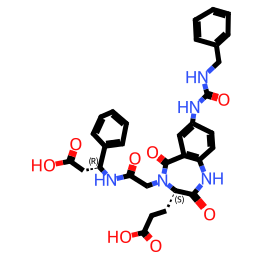 O=C(O)CC[C@H]1C(=O)Nc2ccc(NC(=O)NCc3ccccc3)cc2C(=O)N1CC(=O)N[C@H](CC(=O)O)c1ccccc1